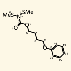 CSN(SC)C(=O)OCCCCOc1ccccc1